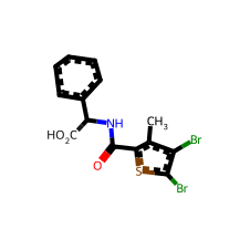 Cc1c(C(=O)NC(C(=O)O)c2ccccc2)sc(Br)c1Br